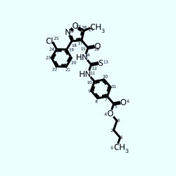 CCCCOC(=O)c1ccc(NC(=S)NC(=O)c2c(-c3ccccc3Cl)noc2C)cc1